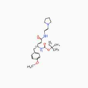 COc1ccc(C[C@@H](C=CC(=O)NCCN2CCCC2)NC(=O)OC(C)(C)C)cc1